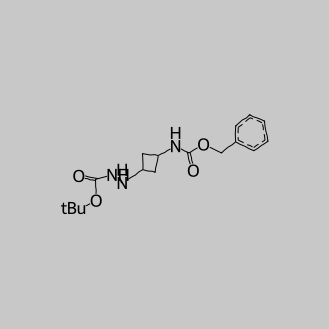 CC(C)(C)OC(=O)NNC1CC(NC(=O)OCc2ccccc2)C1